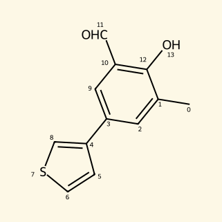 Cc1cc(-c2ccsc2)cc(C=O)c1O